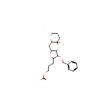 COC12CC[C@@H](C)OC1CC1OC(CCCOC(C)=O)C(OCc3ccccc3)C1O2